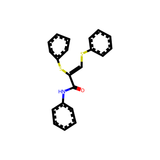 O=C(Nc1ccccc1)C(=CSc1ccccc1)Sc1ccccc1